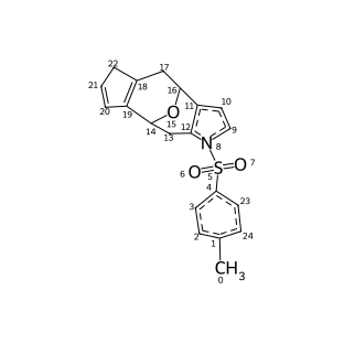 Cc1ccc(S(=O)(=O)n2ccc3c2CC2OC3CC3=C2C=CC3)cc1